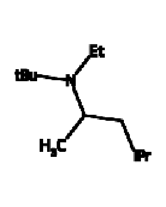 CCN(C(C)CC(C)C)C(C)(C)C